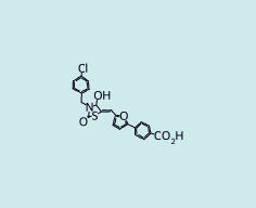 O=C(O)c1ccc(-c2ccc(/C=C3\SC(=O)N(Cc4ccc(Cl)cc4)C3O)o2)cc1